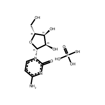 Nc1ccn([C@@H]2O[C@H](CO)[C@@H](O)[C@H]2O)c(=O)n1.O=P(O)(O)S